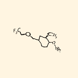 CCCOC1CCC(COCC(F)(F)F)CC1C